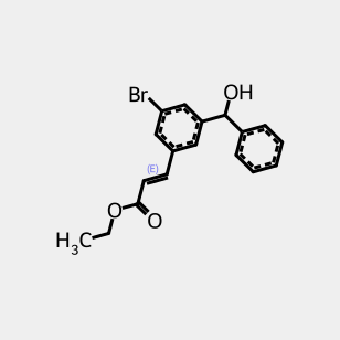 CCOC(=O)/C=C/c1cc(Br)cc(C(O)c2ccccc2)c1